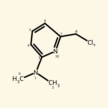 CN(C)c1cccc(CCl)n1